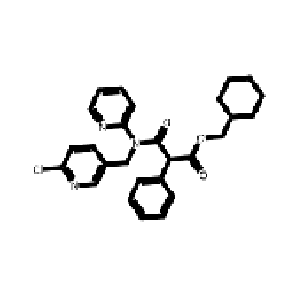 O=C(OCC1CCCCC1)C(C(=O)N(Cc1ccc(Cl)nc1)c1ccccn1)c1ccccc1